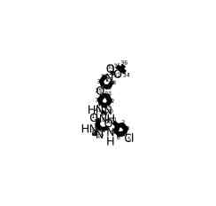 Cc1ccc(Cl)cc1NC(=O)c1nc[nH]c1C(=O)Nc1nc2ccc(OC3CCN(C(=O)OC(C)(C)C)CC3)cc2[nH]1